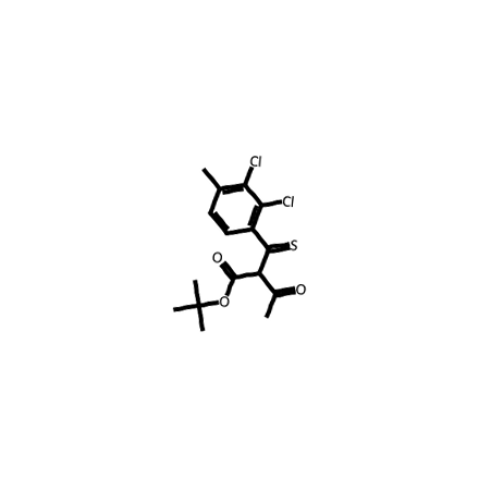 CC(=O)C(C(=O)OC(C)(C)C)C(=S)c1ccc(C)c(Cl)c1Cl